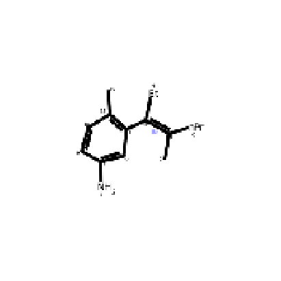 CCC/C(C)=C(\CC)c1cc(N)ccc1C